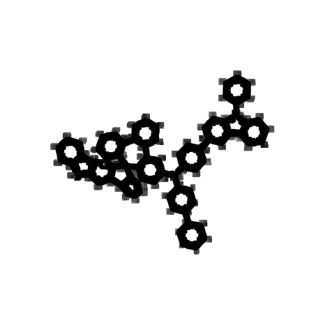 c1ccc(-c2ccc(N(c3ccc(-c4ccc5c(c4)c4ccccc4n5-c4ccccc4)cc3)c3ccc4c(c3)-c3ccccc3-c3ccccc3C43c4ccccc4-c4cc5sc6ccccc6c5cc43)cc2)cc1